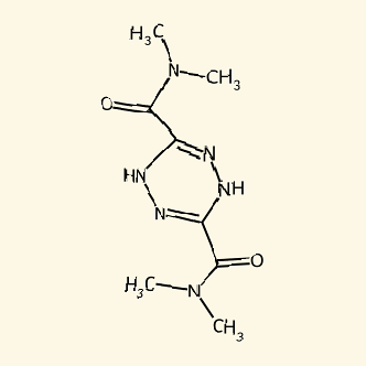 CN(C)C(=O)C1=NNC(C(=O)N(C)C)=NN1